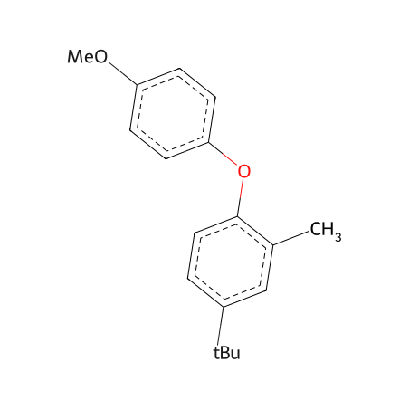 COc1ccc(Oc2ccc(C(C)(C)C)cc2C)cc1